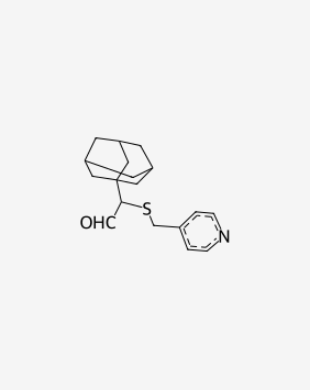 O=CC(SCc1ccncc1)C12CC3CC(CC(C3)C1)C2